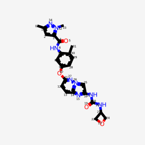 Cc1cc(C(=O)Nc2cc(Oc3ccc4nc(NC(=O)NC5COC5)cn4n3)ccc2C)n(C)n1